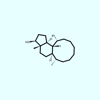 CC(C)[C@@H]1CCCCCC[C@H](C)[C@H]2CC[C@]3(C)[C@@H](O)CC[C@H]3[C@@H]21